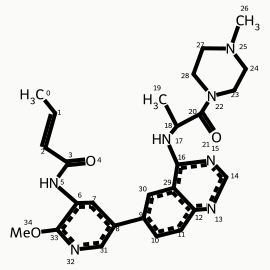 CC=CC(=O)Nc1cc(-c2ccc3ncnc(NC(C)C(=O)N4CCN(C)CC4)c3c2)cnc1OC